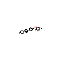 CC[C@@H]1C=C(F)[C@H](O[C@H](O)C2CCC([C@H]3CC[C@@H](C4CCC(C)CC4)C(F)=C3F)CC2)CC1